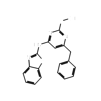 CSc1nc(Cc2ccccc2)cc(Nc2nc3ccccc3s2)n1